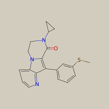 CSc1cccc(-c2c3n(c4cccnc24)CCN(C2CC2)C3=O)c1